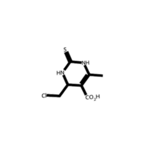 CC1=C(C(=O)O)C(CCl)NC(=S)N1